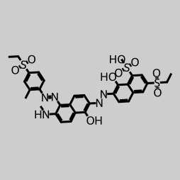 CCS(=O)(=O)c1ccc(/N=N/c2c(NC)ccc3c(O)c(/N=N/c4ccc5cc(S(=O)(=O)CC)cc(S(=O)(=O)O)c5c4O)ccc23)c(C)c1